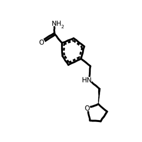 NC(=O)c1ccc(CNC[C@H]2CCCO2)cc1